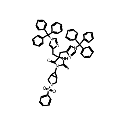 O=C1N(C2C3CN(S(=O)(=O)c4ccccc4)CC32)C(=S)NC1(Cc1cn(C(c2ccccc2)(c2ccccc2)c2ccccc2)cn1)Cc1cn(C(c2ccccc2)(c2ccccc2)c2ccccc2)cn1